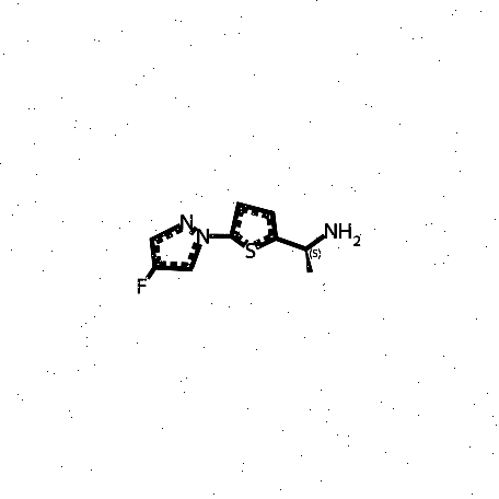 C[C@H](N)c1ccc(-n2cc(F)cn2)s1